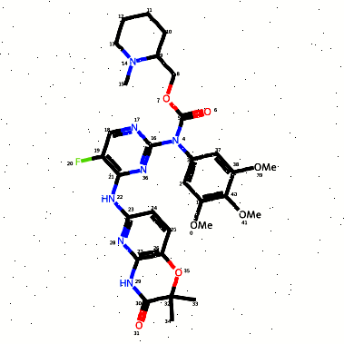 COc1cc(N(C(=O)OCC2CCCCN2C)c2ncc(F)c(Nc3ccc4c(n3)NC(=O)C(C)(C)O4)n2)cc(OC)c1OC